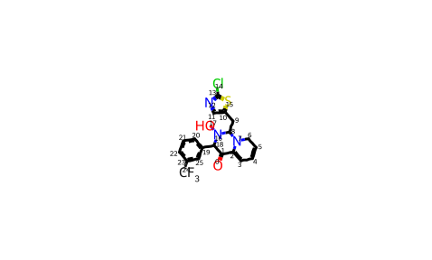 O=C1C2=CC=CCN2C(Cc2cnc(Cl)s2)N(O)C1c1cccc(C(F)(F)F)c1